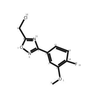 COc1cc(-c2noc(CCl)n2)ccc1F